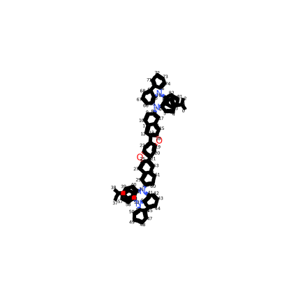 CC(C)c1ccc(N(c2ccc3cc4c(cc3c2)oc2cc3c(cc24)oc2cc4cc(N(c5ccc(C(C)C)cc5)c5cccc6c7ccccc7n(-c7ccccc7)c56)ccc4cc23)c2cccc3c4ccccc4n(-c4ccccc4)c23)cc1